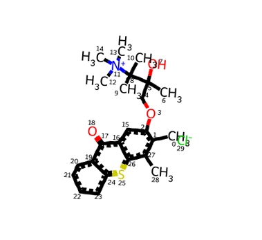 Cc1c(OCC(C)(O)C(C)(C)[N+](C)(C)C)cc2c(=O)c3ccccc3sc2c1C.[Cl-]